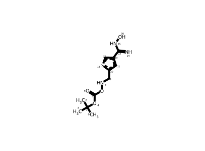 CC(C)(C)OC(=O)ONCc1cc(C(=N)NO)cs1